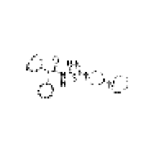 O=C(Nc1nnc(N2CCC(N3CCCCC3)CC2)s1)C(c1ccccc1)c1ccccc1